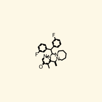 C=C1c2c(C)c(=O)cnn2C(C(c2cccc(F)c2)c2cccc(F)c2)N2CCCCCN12